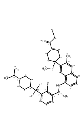 COC1(c2cc3c(N[C@H](C)c4cccc(C(F)(F)C5CCN(C(C)C)CC5)c4F)ncnc3nc2C)CCN(C(=O)CF)CC1